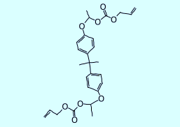 C=CCOC(=O)OC(C)Oc1ccc(C(C)(C)c2ccc(OC(C)OC(=O)OCC=C)cc2)cc1